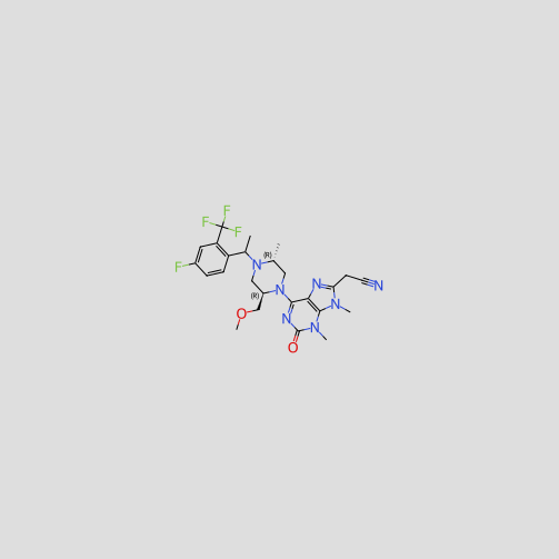 COC[C@H]1CN(C(C)c2ccc(F)cc2C(F)(F)F)[C@H](C)CN1c1nc(=O)n(C)c2c1nc(CC#N)n2C